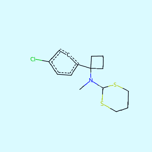 CN(C1SCCCS1)C1(c2ccc(Cl)cc2)CCC1